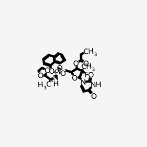 CCC(=O)OC1C(COP(=O)(N[C@@H](C)C2OCCO2)Oc2cccc3ccccc23)OC(n2ccc(=O)[nH]c2=O)C1(C)F